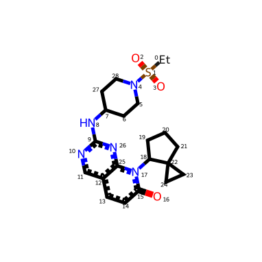 CCS(=O)(=O)N1CCC(Nc2ncc3ccc(=O)n(C4CCCC45CC5)c3n2)CC1